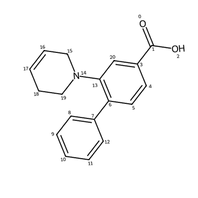 O=C(O)c1ccc(-c2ccccc2)c(N2CC=CCC2)c1